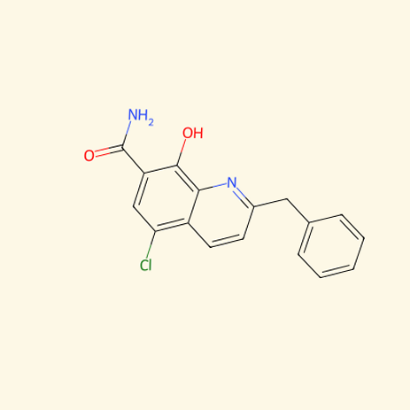 NC(=O)c1cc(Cl)c2ccc(Cc3ccccc3)nc2c1O